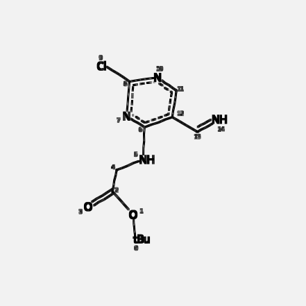 CC(C)(C)OC(=O)CNc1nc(Cl)ncc1C=N